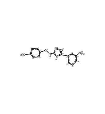 Cc1ccc(SNc2nnc(-c3cccc([N+](=O)[O-])c3)s2)cc1